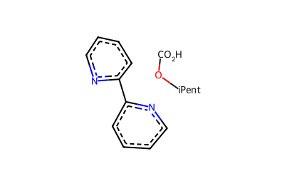 CCCC(C)OC(=O)O.c1ccc(-c2ccccn2)nc1